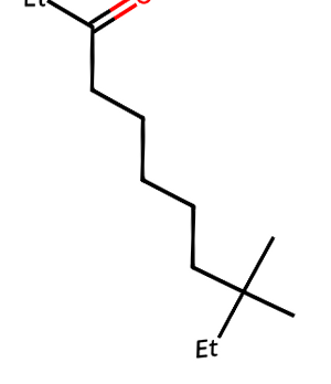 CCC(=O)CCCCCC(C)(C)CC